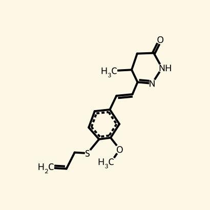 C=CCSc1ccc(C=CC2=NNC(=O)CC2C)cc1OC